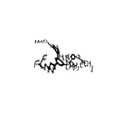 COCCn1cc(-c2cc(-c3cnn(CC(F)F)c3)cc([C@@H](C)NC(=O)c3cc(OCCN(C)C)ccc3C)c2)cn1